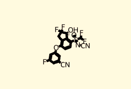 N#CN=S(=O)(c1ccc(Oc2cc(F)cc(C#N)c2)c2c1[C@H](O)C(F)(F)C2)C(F)F